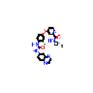 CNC(=O)c1cc(Oc2ccc(NC(=O)Nc3ccc4nccnc4c3)c(F)c2)ccn1